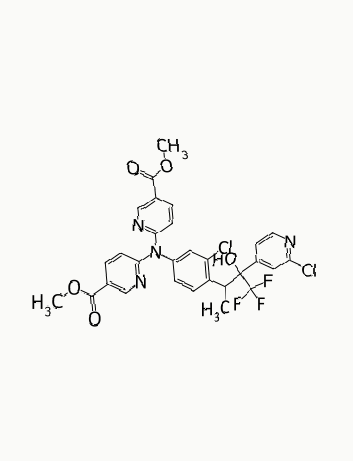 COC(=O)c1ccc(N(c2ccc(C(C)C(O)(c3ccnc(Cl)c3)C(F)(F)F)c(Cl)c2)c2ccc(C(=O)OC)cn2)nc1